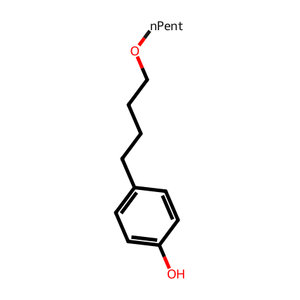 CCCCCOCCCCc1ccc(O)cc1